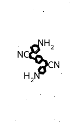 N#CC(=Cc1ccc(C=C(C#N)c2ccc(N)cc2)cc1)c1ccc(N)cc1